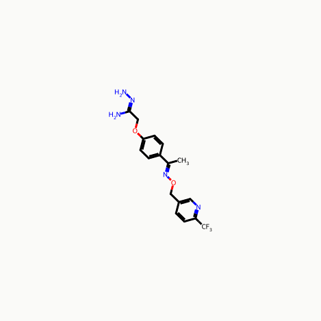 C/C(=N\OCc1ccc(C(F)(F)F)nc1)c1ccc(OC/C(N)=N/N)cc1